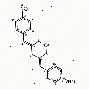 O=[N+]([O-])c1ccc(C=C2COCC(=Cc3ccc([N+](=O)[O-])cc3)C2)cc1